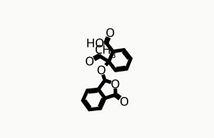 CC(=O)C1(OC2OC(=O)c3ccccc32)C=CC=CC1C(=O)O